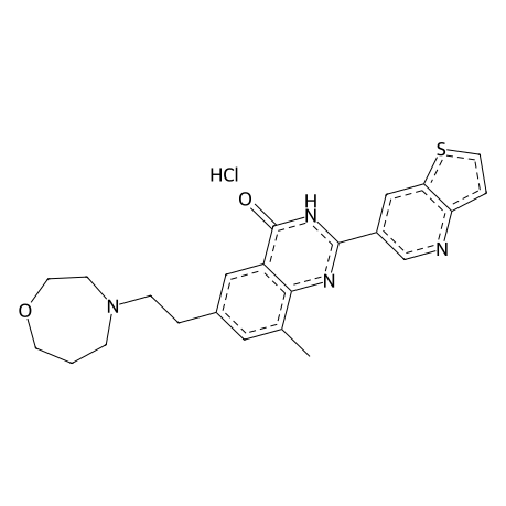 Cc1cc(CCN2CCCOCC2)cc2c(=O)[nH]c(-c3cnc4ccsc4c3)nc12.Cl